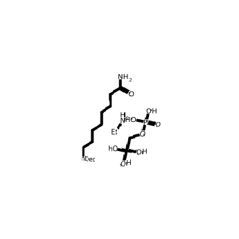 CCCCCCCCCCCCCCCCCC(N)=O.CCN.O=P(O)(O)OCC(O)(O)O